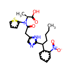 CCCCC(c1ncc(CC(=O)N(c2cccs2)[C@@H](C)C(=O)O)[nH]1)c1ccccc1[N+](=O)[O-]